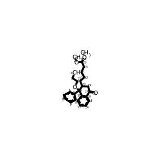 CCCOC1(c2ccccc2)c2ccccc2C(=O)CC1CCCCC(OC)OC